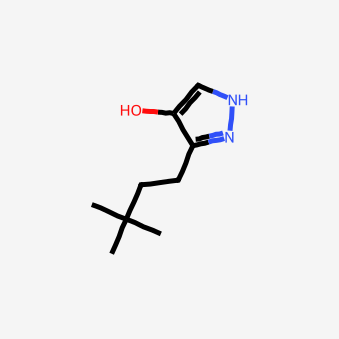 CC(C)(C)CCc1n[nH]cc1O